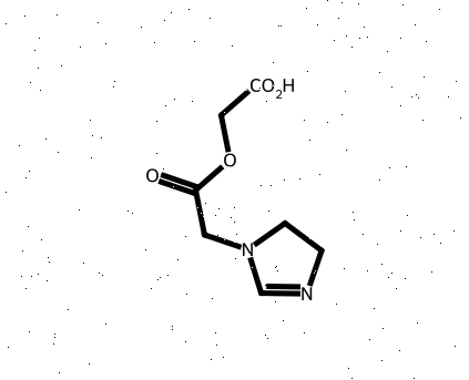 O=C(O)COC(=O)CN1C=NCC1